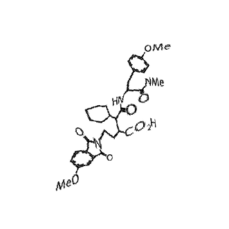 CNC(=O)C(Cc1ccc(OC)cc1)NC(=O)C(C1CCCCC1)C(CCN1C(=O)c2ccc(OC)cc2C1=O)C(=O)O